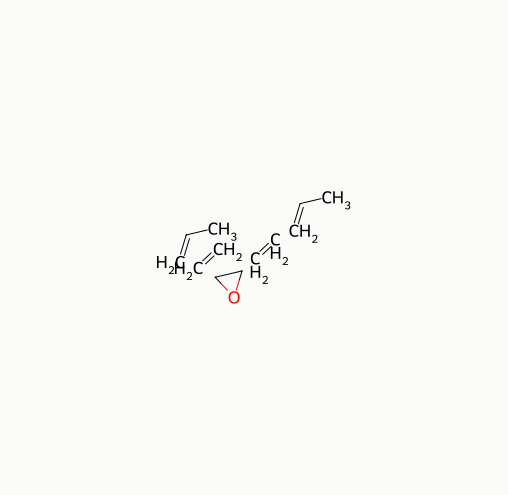 C1CO1.C=C.C=C.C=CC.C=CC